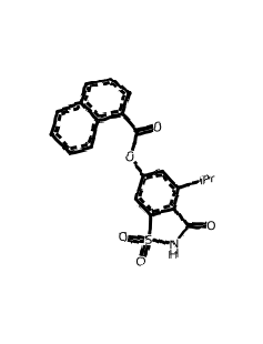 CC(C)c1cc(OC(=O)c2cccc3ccccc23)cc2c1C(=O)NS2(=O)=O